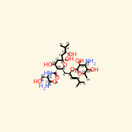 CC(C)/C=C/[C@@H](C[C@@H]1O[C@](O)(C[C@@H](O)C(C)C)C[C@H](O)[C@H]1C(=O)N[C@H](CO)C(N)=O)OC1OC(C)C(O)C(N)C1O